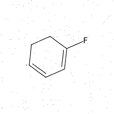 FC1=CC=[C]CC1